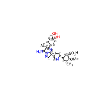 COc1c(C)cc(-c2ccc(-c3cnn4c(N)c(C(C)=O)c(C5CCC(O)(CO)CC5)nc34)cn2)cc1C(=O)O